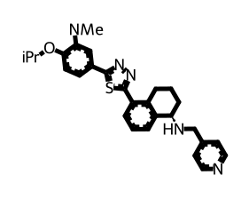 CNc1cc(-c2nnc(-c3cccc4c3CCC[C@@H]4NCc3ccncc3)s2)ccc1OC(C)C